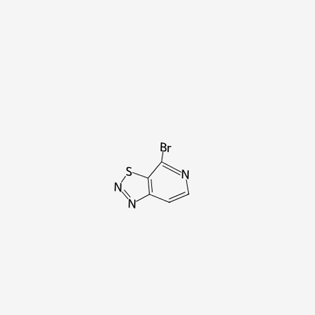 Brc1nccc2nnsc12